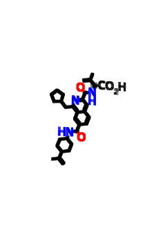 C=C(C)C1CCC(NC(=O)c2ccc3cc(C(=O)N[C@@H](C(=C)C)C(=O)O)nc(CC4CCCC4)c3c2)CC1